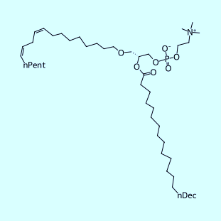 CCCCC/C=C\C/C=C\CCCCCCCCOC[C@H](COP(=O)([O-])OCC[N+](C)(C)C)OC(=O)CCCCCCCCCCCCCCCCCCCCCCC